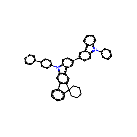 c1ccc(-c2ccc(-n3c4ccc(-c5ccc6c(c5)c5ccccc5n6-c5ccccc5)cc4c4cc5c(cc43)-c3ccccc3C53CCCCC3)cc2)cc1